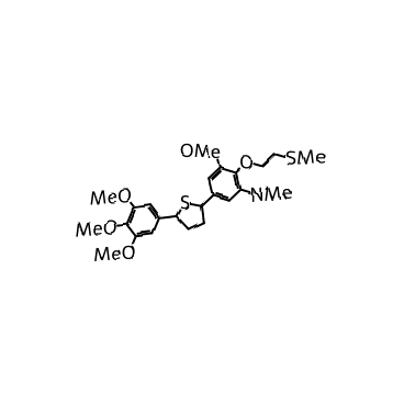 CNc1cc(C2CCC(c3cc(OC)c(OC)c(OC)c3)S2)cc(OC)c1OCCSC